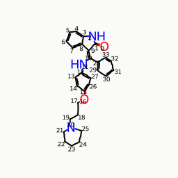 O=C1Nc2ccccc2C1=C(Nc1ccc(OCCCN2CCCCC2)cc1)c1ccccc1